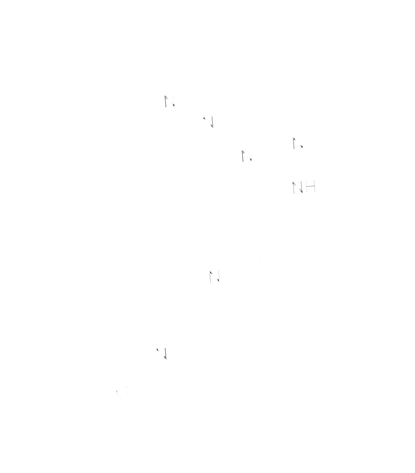 Cc1cnc(Nc2ccc(N3CCC(N4CCOCC4)CC3)cc2)nc1-n1ccnc1